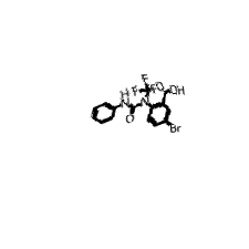 O=C(O)c1cc(Br)ccc1N(C(=O)Nc1ccccc1)C(F)(F)F